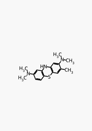 Cc1cc2c(cc1N(C)C)Nc1cc(N(C)C)ccc1S2